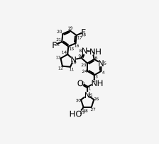 O=C(Nc1cnc2[nH]nc(N3CCCC3c3cc(F)ccc3F)c2c1)N1CCC(O)C1